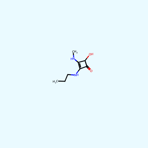 CCCNC1=C(NC)C(O)C1=O